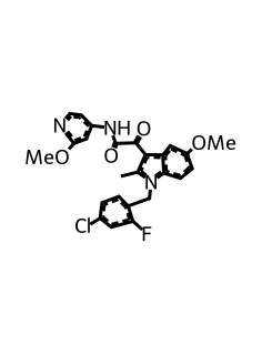 COc1ccc2c(c1)c(C(=O)C(=O)Nc1ccnc(OC)c1)c(C)n2Cc1ccc(Cl)cc1F